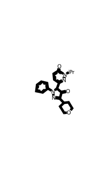 CC(C)n1nc(C2C(=O)C(C3CCOCC3)=NN2c2ccccc2)ccc1=O